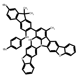 Cc1cc(-c2cc3c(cc2Nc2ccc(C(C)(C)C)cc2)-c2ccc(C(C)(C)C)cc2C3(C)C)c2c3c1c1cc4c(cc1n3-c1cc3c(cc1B2)sc1ccccc13)oc1ccccc14